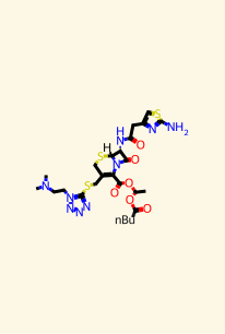 CCCCC(=O)OC(C)OC(=O)C1=C(CSc2nnnn2CCN(C)C)CS[C@@H]2[C@H](NC(=O)Cc3csc(N)n3)C(=O)N12